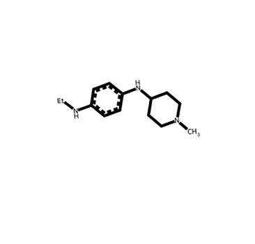 CCNc1ccc(NC2CCN(C)CC2)cc1